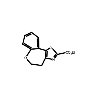 CCOC(=O)c1nc2c(s1)-c1ccccc1OCC2